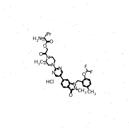 Cc1ccc(OC(F)F)c(Cn2c3cc(-c4cnc(N5CCN(C(=O)COC(=O)[C@@H](N)C(C)C)[C@H](C)C5)nc4)ccc3c(=O)n2C)c1.Cl